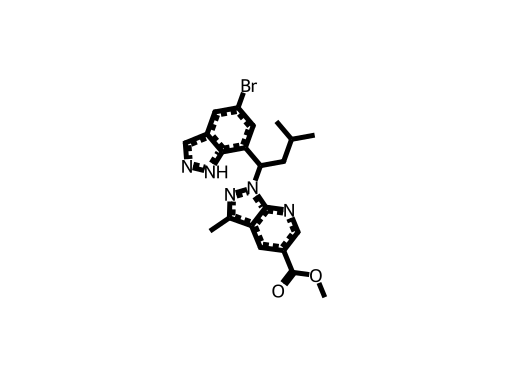 COC(=O)c1cnc2c(c1)c(C)nn2C(CC(C)C)c1cc(Br)cc2cn[nH]c12